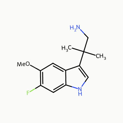 COc1cc2c(C(C)(C)CN)c[nH]c2cc1F